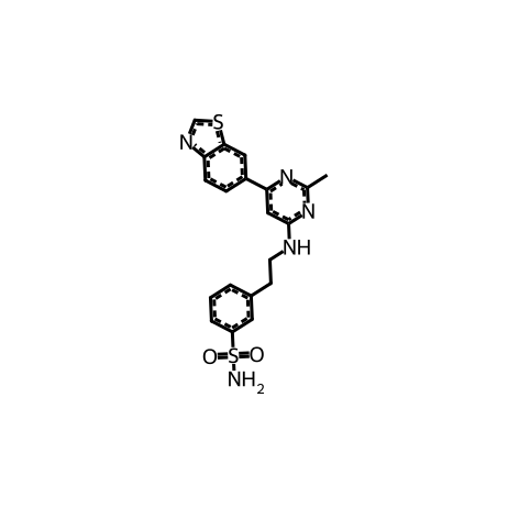 Cc1nc(NCCc2cccc(S(N)(=O)=O)c2)cc(-c2ccc3ncsc3c2)n1